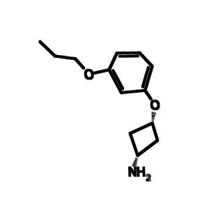 CCCOc1cccc(O[C@H]2C[C@@H](N)C2)c1